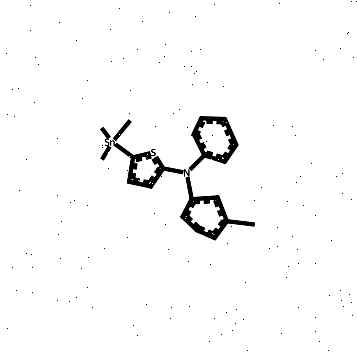 Cc1cccc(N(c2ccccc2)c2cc[c]([Sn]([CH3])([CH3])[CH3])s2)c1